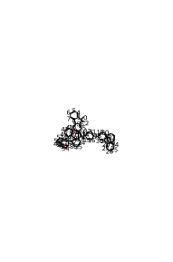 CC1(C)c2ccccc2-c2ccc(N(c3ccc(-c4ccc5oc6ccccc6c5c4)cc3)c3cccc4c3-c3ccccc3C43C4CC5CC(C4)CC3C5)cc21